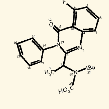 CC(c1nc2cccc(F)c2c(=O)n1-c1ccccc1)N(C(=O)O)C(C)(C)C